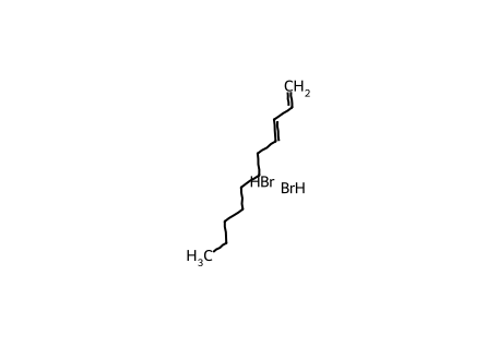 Br.Br.C=CC=CCCCCCCC